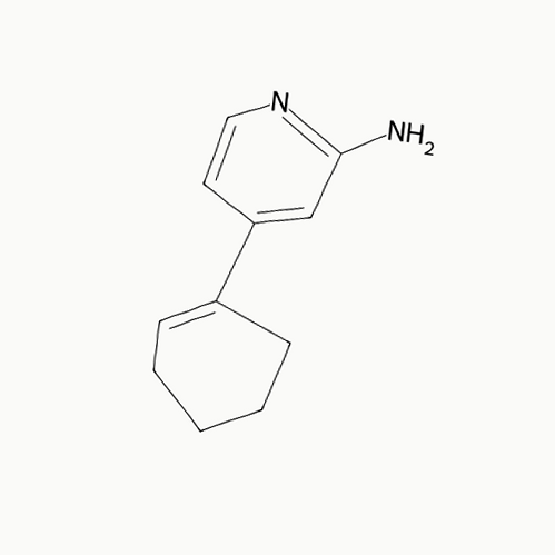 Nc1cc(C2=CCCCC2)ccn1